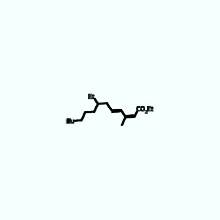 CCOC(=O)C=C(C)C=CCC(CC)CCCC(C)CC